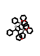 c1ccc(-c2oc([Si](c3ccccc3)(c3ccccc3)c3ccccc3)c([Si](c3ccccc3)(c3ccccc3)c3ccccc3)c2-c2ccccc2)cc1